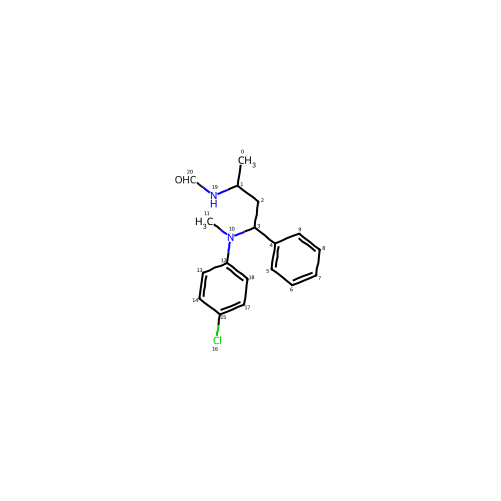 CC(CC(c1ccccc1)N(C)c1ccc(Cl)cc1)NC=O